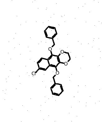 Clc1ccc2c(OCc3ccccc3)c3c(c(OCc4ccccc4)c2c1)OCCO3